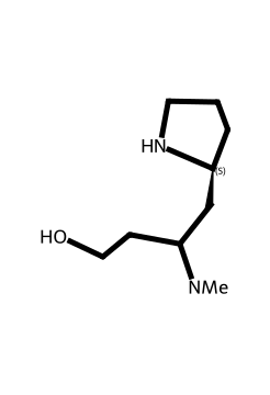 CNC(CCO)C[C@@H]1CCCN1